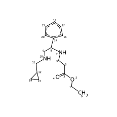 CCOC(=O)CCNC(CNCC1CC1)c1ccccc1